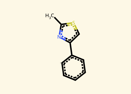 Cc1nc(-c2[c]cccc2)cs1